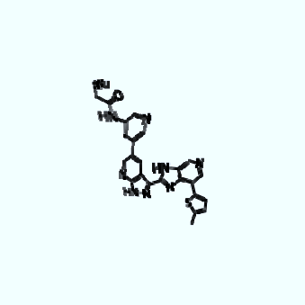 Cc1ccc(-c2cncc3[nH]c(-c4n[nH]c5ncc(-c6cncc(NC(=O)CC(C)(C)C)c6)cc45)nc23)s1